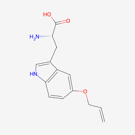 C=CCOc1ccc2[nH]cc(C[C@H](N)C(=O)O)c2c1